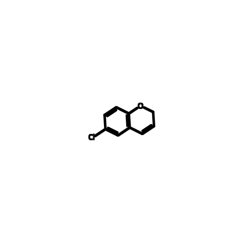 Clc1ccc2c(c1)C=CCO2